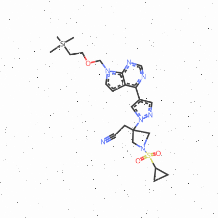 C[Si](C)(C)CCOCn1ccc2c(-c3cnn(C4(CC#N)CN(S(=O)(=O)C5CC5)C4)c3)ncnc21